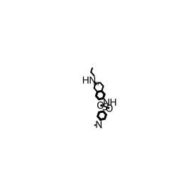 CCCN[C@H]1CCc2cc(NS(=O)(=O)c3ccc(N(C)C)cc3)ccc2C1